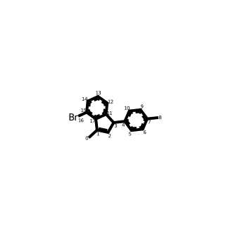 CC1=CC(c2ccc(C)cc2)c2cccc(Br)c21